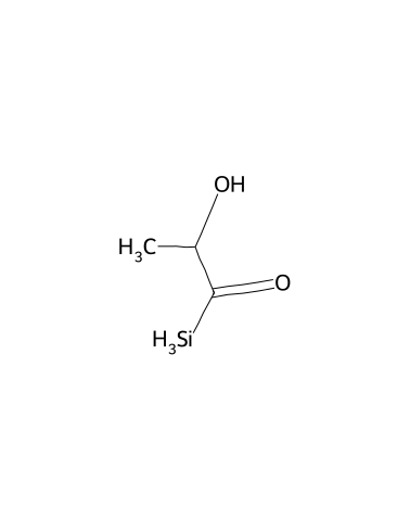 CC(O)C(=O)[SiH3]